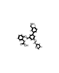 NCc1cccc(-c2cc(COc3ccccc3CC(=O)O)cc(OC[C@H]3CCCO3)c2)c1